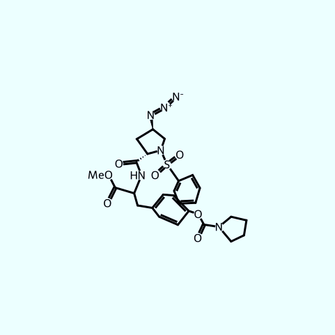 COC(=O)C(Cc1ccc(OC(=O)N2CCCC2)cc1)NC(=O)[C@@H]1C[C@@H](N=[N+]=[N-])CN1S(=O)(=O)c1ccccc1